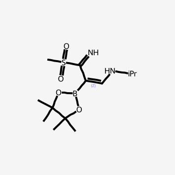 CC(C)N/C=C(/B1OC(C)(C)C(C)(C)O1)C(=N)S(C)(=O)=O